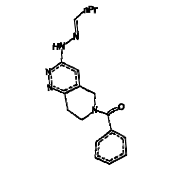 CCCC=NNc1cc2c(nn1)CCN(C(=O)c1ccccc1)C2